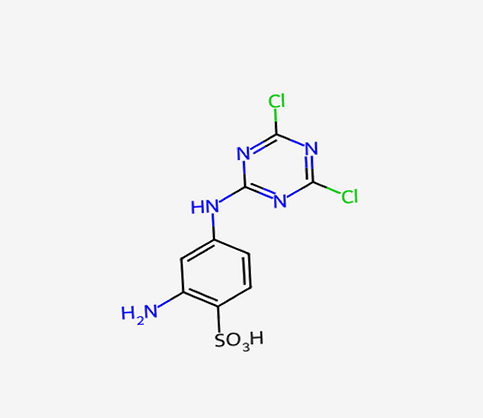 Nc1cc(Nc2nc(Cl)nc(Cl)n2)ccc1S(=O)(=O)O